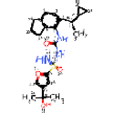 C[C@@H](c1ccc2c(c1NC(=O)N[S@@](=N)(=O)c1cc(C(C)(C)O)co1)CCC2)C1CC1